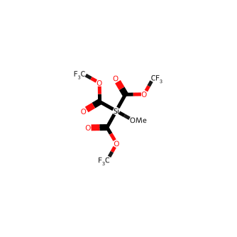 CO[Si](C(=O)OC(F)(F)F)(C(=O)OC(F)(F)F)C(=O)OC(F)(F)F